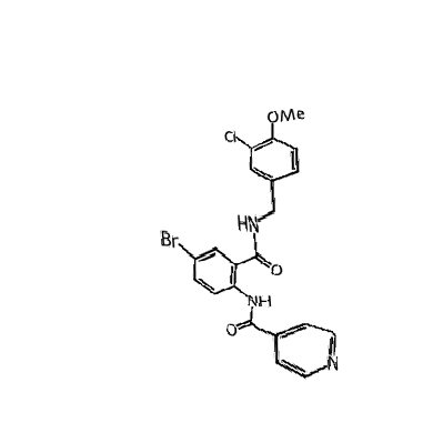 COc1ccc(CNC(=O)c2cc(Br)ccc2NC(=O)c2ccncc2)cc1Cl